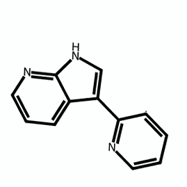 [c]1cccnc1-c1c[nH]c2ncccc12